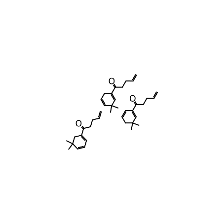 C=CCCC(=O)C1=CC(C)(C)C=CC1.C=CCCC(=O)C1=CC(C)(C)CC=C1.C=CCCC(=O)C1=CC=CC(C)(C)C1